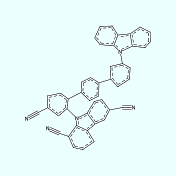 N#Cc1ccc(-c2ccc(-c3cccc(-n4c5ccccc5c5ccccc54)c3)cc2)c(-n2c3ccc(C#N)cc3c3cccc(C#N)c32)c1